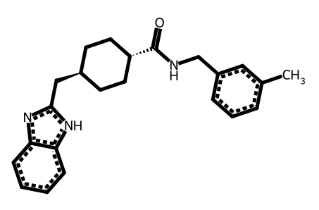 Cc1cccc(CNC(=O)[C@H]2CC[C@H](Cc3nc4ccccc4[nH]3)CC2)c1